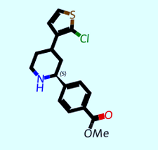 COC(=O)c1ccc([C@@H]2CC(c3ccsc3Cl)CCN2)cc1